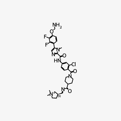 Cn1c(-c2ccc(OCN)c(F)c2F)cnc1C(=O)Nc1ccc(C(=O)N2CCC(C(=O)N=C[C@H]3CC[N+](C)(C)C3)CC2)c(Cl)c1